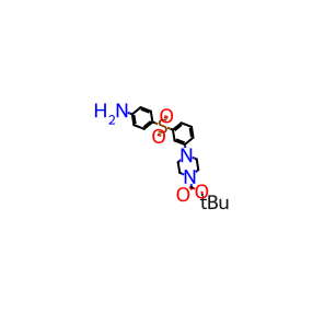 CC(C)(C)OC(=O)N1CCN(c2cccc(S(=O)(=O)c3ccc(N)cc3)c2)CC1